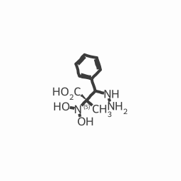 C[C@@](C(=O)O)(C(NN)c1ccccc1)N(O)O